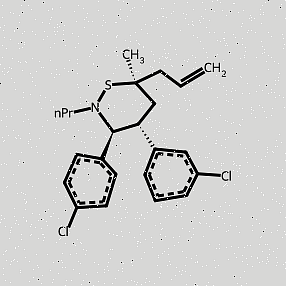 C=CC[C@@]1(C)C[C@H](c2cccc(Cl)c2)[C@@H](c2ccc(Cl)cc2)N(CCC)S1